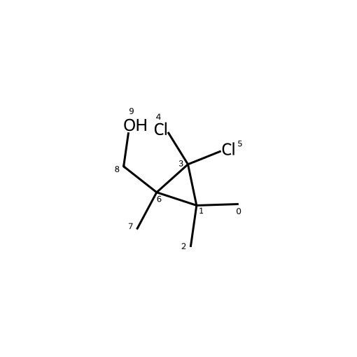 CC1(C)C(Cl)(Cl)C1(C)CO